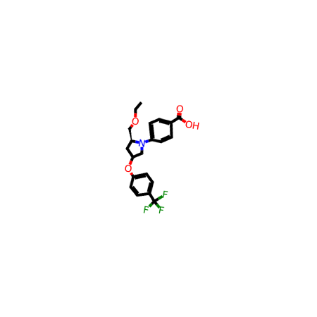 CCOC[C@@H]1CC(Oc2ccc(C(F)(F)F)cc2)CN1c1ccc(C(=O)O)cc1